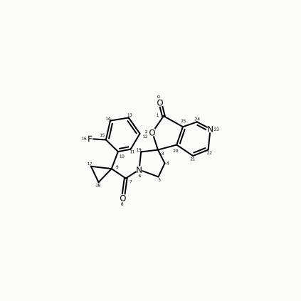 O=C1OC2(CCN(C(=O)C3(c4ccccc4F)CC3)C2)c2ccncc21